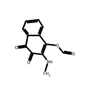 CNC1=C(OC=O)c2ccccc2C(=O)C1=O